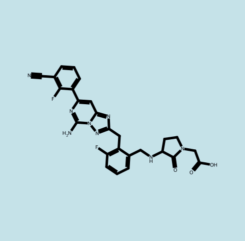 N#Cc1cccc(-c2cc3nc(Cc4c(F)cccc4CNC4CCN(CC(=O)O)C4=O)nn3c(N)n2)c1F